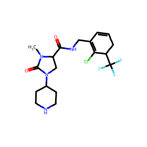 CN1C(=O)N(C2CCNCC2)CC1C(=O)NCC1=C(Cl)C(C(F)(F)F)CC=C1